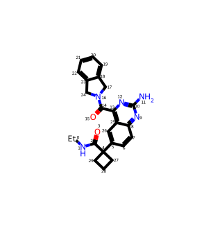 CCNC(=O)C1(c2ccc3nc(N)nc(C(=O)N4Cc5ccccc5C4)c3c2)CCC1